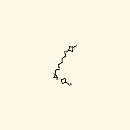 OC1CC([C@@H]2C[C@H]2COCCCCOC2CN(I)C2)C1